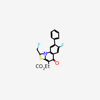 CCOC(=O)c1c2n(c3cc(-c4ccccc4)c(F)cc3c1=O)C(CF)S2